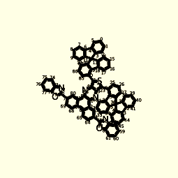 c1ccc2c(c1)-c1ccccc1C21c2ccccc2-c2c(-c3sc(-c4cccc5c4-c4ccccc4C54c5ccccc5-c5ccccc54)c4nc5c6cc(-c7nc8ccccc8o7)ccc6c6ccc(-c7nc8ccccc8o7)cc6c5nc34)cccc21